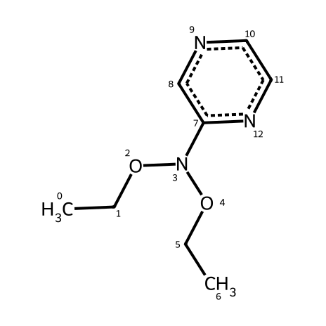 CCON(OCC)c1cnccn1